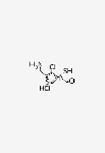 Cl.NCc1scc(N(S)C=O)c1Cl